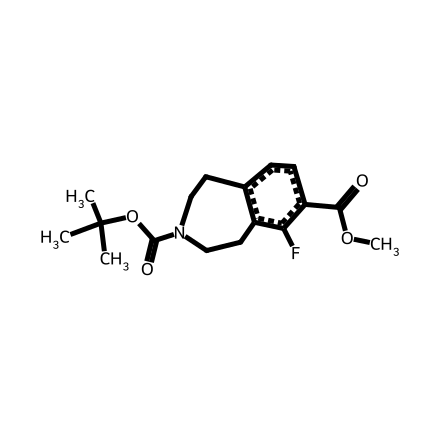 COC(=O)c1ccc2c(c1F)CCN(C(=O)OC(C)(C)C)CC2